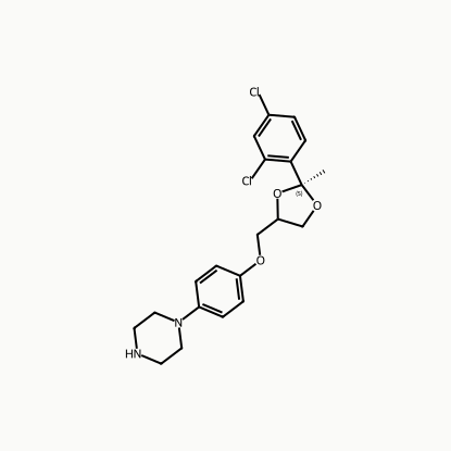 C[C@]1(c2ccc(Cl)cc2Cl)OCC(COc2ccc(N3CCNCC3)cc2)O1